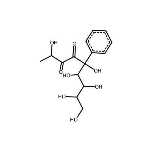 CC(O)C(=O)C(=O)C(O)(c1ccccc1)C(O)C(O)C(O)CO